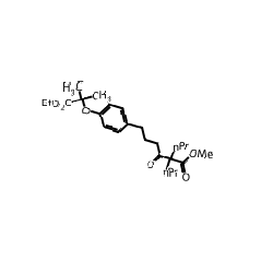 CCCC(CCC)(C(=O)CCCc1ccc(OC(C)(C)C(=O)OCC)cc1)C(=O)OC